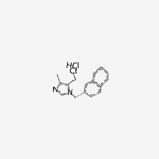 Cc1ncn(Cc2ccc3ccccc3c2)c1CCl.Cl